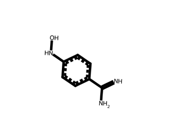 N=C(N)c1ccc(NO)cc1